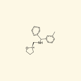 Cc1cccc(C(NC[C@H]2CCCO2)c2ccccc2)c1